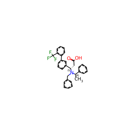 C[C@H](c1ccccc1)N(Cc1ccccc1)[C@@H](CC(=O)O)c1cccc(-c2ccccc2C(F)(F)F)c1